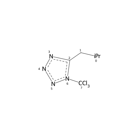 CC(C)Cc1nnnn1C(Cl)(Cl)Cl